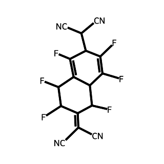 N#CC(C#N)=C1C(F)C(F)C2=C(F)C(C(C#N)C#N)C(F)=C(F)C2C1F